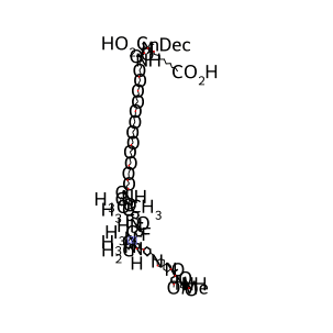 C=Nc1[nH]c(-c2ccc(CCN3CCC4(CC3)CCN(C(=O)c3ccc(OC)c(N5CCC(=O)NC5=O)c3)CC4)cc2)cc1/C(=N\C)c1cc(F)cc(NC(=O)c2ccc(C(C)(C)OC(=O)[C@H](C)NC(=O)CCOCCOCCOCCOCCOCCOCCOCCOCCOCCOCCOCCOCCNC(=O)CCC(C(=O)O)N(CCCCCCCCCCC)C(=O)CCCCCCCCCC(=O)O)cc2F)c1C